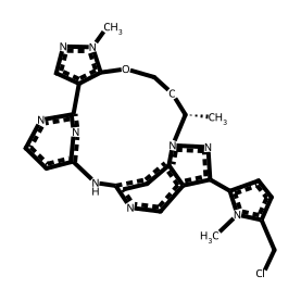 C[C@H]1CCOc2c(cnn2C)-c2nccc(n2)Nc2cc3c(cn2)c(-c2ccc(CCl)n2C)nn31